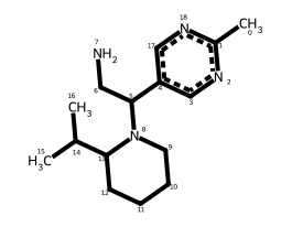 Cc1ncc(C(CN)N2CCCCC2C(C)C)cn1